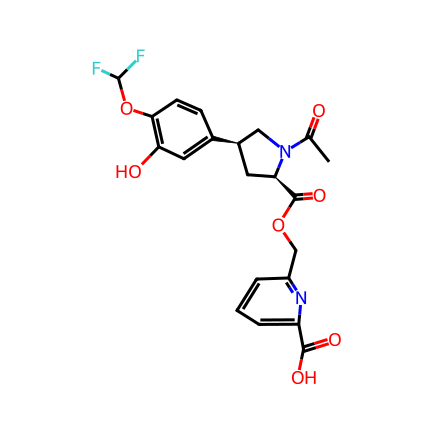 CC(=O)N1C[C@H](c2ccc(OC(F)F)c(O)c2)C[C@@H]1C(=O)OCc1cccc(C(=O)O)n1